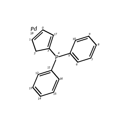 C1=CCC(P(c2ccccc2)c2ccccc2)=C1.[Pd]